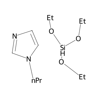 CCCn1ccnc1.CCO[SiH](OCC)OCC